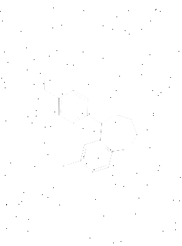 CCc1ccc(C2OCCSc3ccc(Br)cc32)cc1